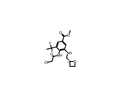 COC(=O)c1cc(NC[C@@H]2CCO2)c(NC(=O)CCl)c(C(C)(F)F)c1